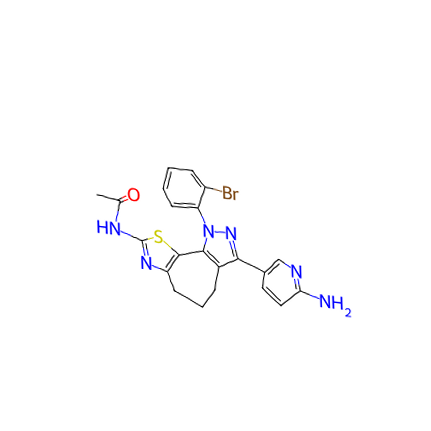 CC(=O)Nc1nc2c(s1)-c1c(c(-c3ccc(N)nc3)nn1-c1ccccc1Br)CCC2